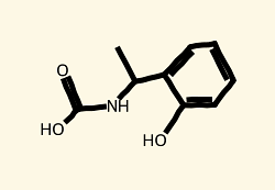 CC(NC(=O)O)c1ccccc1O